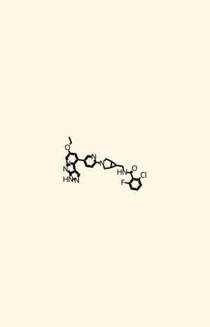 CCOc1cc(-c2ccc(N3CC4C(CNC(=O)c5c(F)cccc5Cl)C4C3)nc2)c2c3cn[nH]c3nn2c1